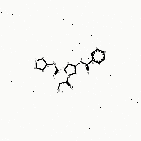 NCC(=O)N1C[C@H](NC(=O)c2ccccc2)C[C@H]1C(=O)NC1CCOC1